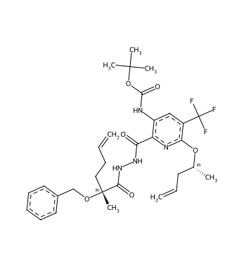 C=CCC[C@@](C)(OCc1ccccc1)C(=O)NNC(=O)c1nc(O[C@H](C)CC=C)c(C(F)(F)F)cc1NC(=O)OC(C)(C)C